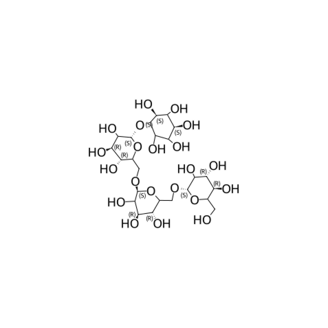 OCC1O[C@H](OCC2O[C@H](OCC3O[C@@H](O[C@H]4C(O)C(O)[C@H](O)C(O)[C@@H]4O)C(O)[C@H](O)[C@H]3O)C(O)[C@H](O)[C@H]2O)C(O)[C@H](O)[C@H]1O